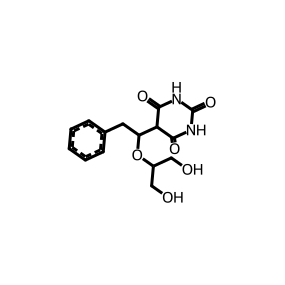 O=C1NC(=O)C(C(Cc2ccccc2)OC(CO)CO)C(=O)N1